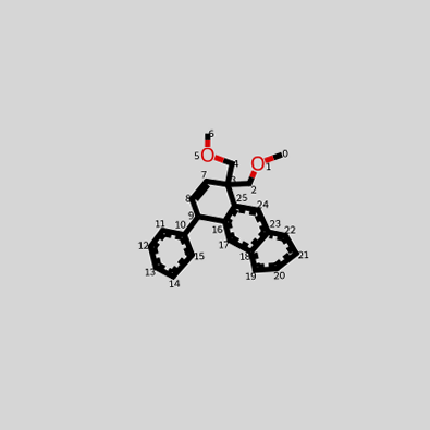 COCC1(COC)C=CC(c2ccccc2)c2cc3ccccc3cc21